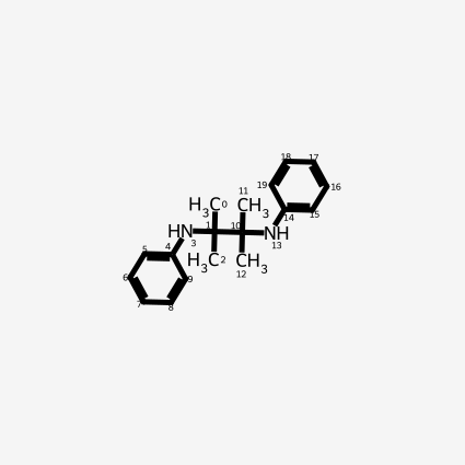 CC(C)(Nc1ccccc1)C(C)(C)Nc1ccccc1